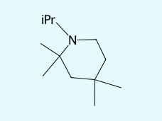 CC(C)N1CCC(C)(C)CC1(C)C